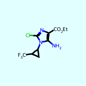 CCOC(=O)c1nc(Cl)n(C2CC2C(F)(F)F)c1N